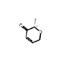 C[C@@H]1OCC=CC1=O